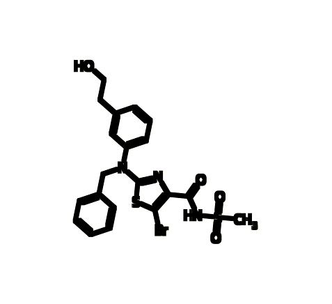 CS(=O)(=O)NC(=O)c1nc(N(Cc2ccccc2)c2cccc(CCO)c2)sc1Br